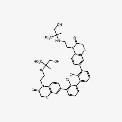 CC(CO)(NCCN1C(=O)COc2cc(-c3cccc(-c4cccc(-c5ccc6c(c5)OCC(=O)N6CCNC(C)(CO)C(=O)O)c4Cl)c3Cl)ccc21)C(=O)O